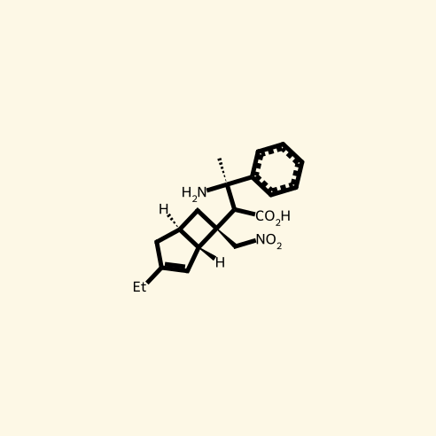 CCC1=C[C@@H]2[C@@H](C1)C[C@]2(C[N+](=O)[O-])C(C(=O)O)[C@@](C)(N)c1ccccc1